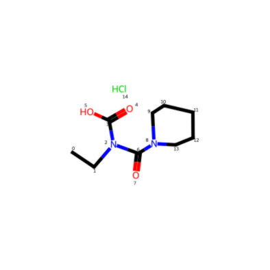 CCN(C(=O)O)C(=O)N1CCCCC1.Cl